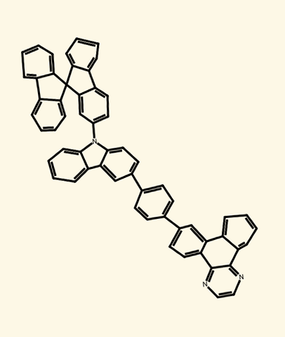 c1ccc2c(c1)-c1ccccc1C21c2ccccc2-c2ccc(-n3c4ccccc4c4cc(-c5ccc(-c6ccc7c(c6)c6ccccc6c6nccnc76)cc5)ccc43)cc21